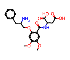 COc1cc(OCC(N)Cc2ccccc2)c(C(=O)NC(CC(=O)O)C(=O)O)cc1OC